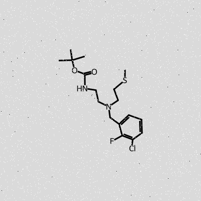 CSCCN(CCNC(=O)OC(C)(C)C)Cc1cccc(Cl)c1F